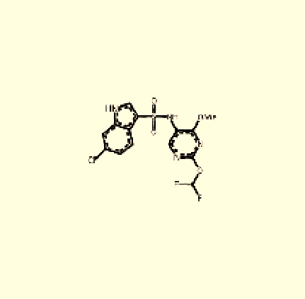 COc1nc(OC(F)F)ncc1NS(=O)(=O)c1c[nH]c2cc(Cl)ccc12